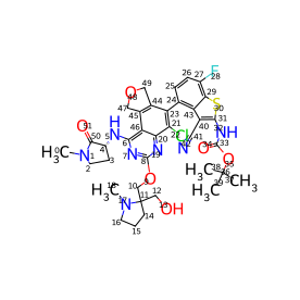 CN1CC[C@@H](Nc2nc(OCC3(CO)CCCN3C)nc3c(Cl)c(-c4ccc(F)c5sc(NC(=O)OC(C)(C)C)c(C#N)c45)c4c(c23)COC4)C1=O